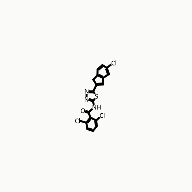 O=C(Nc1nnc(C2=Cc3cc(Cl)ccc3C2)s1)c1c(Cl)cccc1Cl